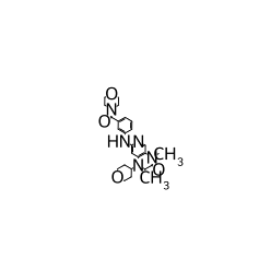 CC1C(=O)N(C)c2cnc(Nc3cccc(C(=O)N4CCOCC4)c3)cc2N1C1CCOCC1